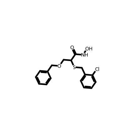 O=C(NO)C(COCc1ccccc1)SCc1ccccc1Cl